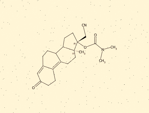 CN(C)C(=O)O[C@@]1(CC#N)CCC2C3CCC4=CC(=O)CCC4=C3CC[C@@]21C